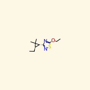 CCOc1nc([C@@H]2[C@@H](CC)C2(C)C)ns1